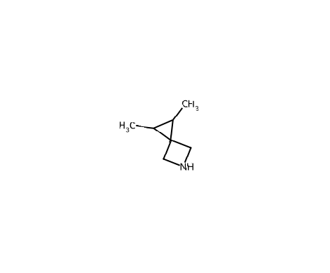 CC1C(C)C12CNC2